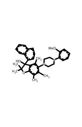 COc1ccccc1N1CCN(c2c(C)c(C)c3c(c2C)C(O)(c2cccc4ccccc24)C(C)(C)O3)CC1